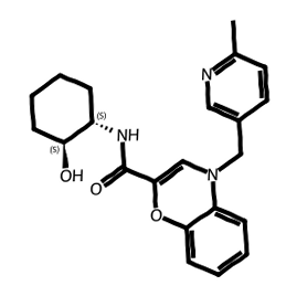 Cc1ccc(CN2C=C(C(=O)N[C@H]3CCCC[C@@H]3O)Oc3ccccc32)cn1